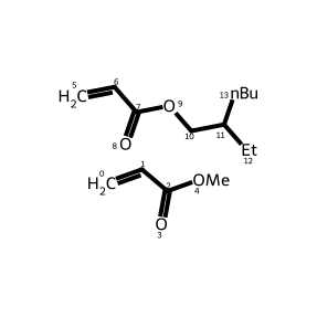 C=CC(=O)OC.C=CC(=O)OCC(CC)CCCC